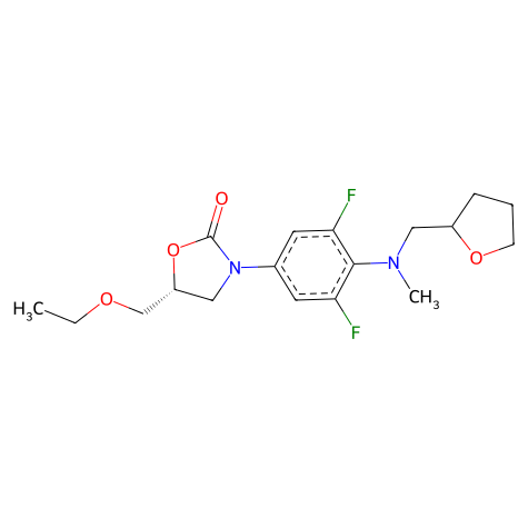 CCOC[C@H]1CN(c2cc(F)c(N(C)CC3CCCO3)c(F)c2)C(=O)O1